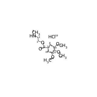 CNCCOC(=O)c1cc(OC)c(OC)c(OC)c1.Cl